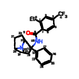 CCc1cc(C(F)(F)F)ccc1C(=O)NC1(c2ccccc2)CCC2CCC1N2C